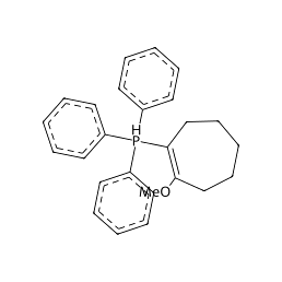 COC1=C([PH](c2ccccc2)(c2ccccc2)c2ccccc2)CCCCC1